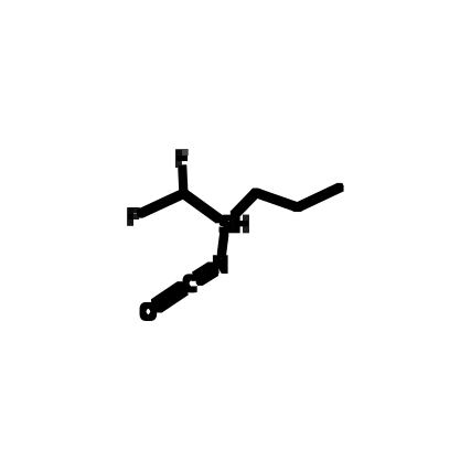 CCC[SiH](N=C=O)C(F)F